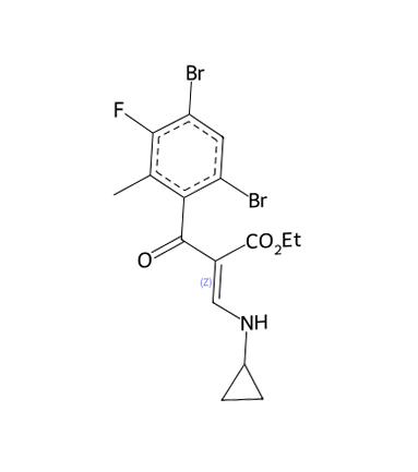 CCOC(=O)/C(=C\NC1CC1)C(=O)c1c(Br)cc(Br)c(F)c1C